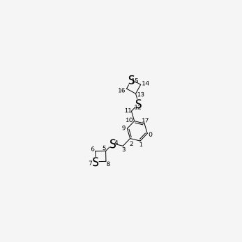 c1cc(CSC2CSC2)cc(CSC2CSC2)c1